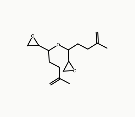 C=C(C)CCC(OC(CCC(=C)C)C1CO1)C1CO1